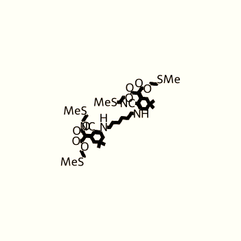 CSCCOC(=O)C(C(=O)OCCSC)=C1CC(C)(C)CC(NCCCCCCNC2=C(C#N)C(=C(C(=O)OCCSC)C(=O)OCCSC)CC(C)(C)C2)=C1C#N